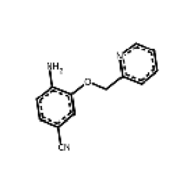 N#Cc1ccc(N)c(OCc2ccccn2)c1